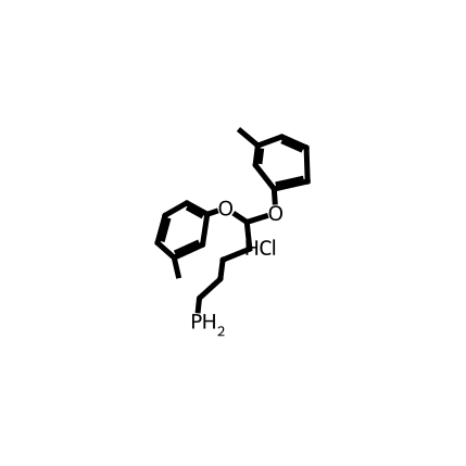 Cc1cccc(OC(CCCCP)Oc2cccc(C)c2)c1.Cl